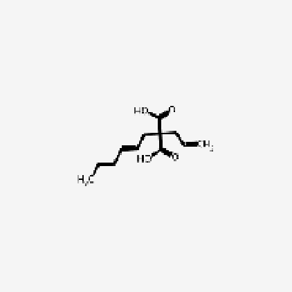 C=CCC(CC=CCCC)(C(=O)O)C(=O)O